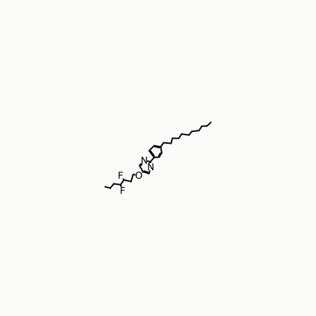 CCCCCCCCCCCc1ccc(-c2ncc(OCCC(F)C(F)CCC)cn2)cc1